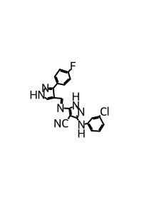 N#Cc1c(Nc2cccc(Cl)c2)n[nH]c1/N=C/c1c[nH]nc1-c1ccc(F)cc1